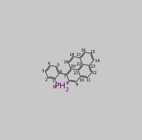 Pc1ccccc1-c1ccc2ccc3cccc4ccc1c2c34